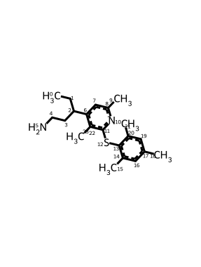 CCC(CCN)c1cc(C)nc(Sc2c(C)cc(C)cc2C)c1C